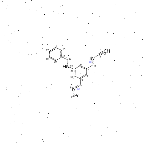 C#C/N=C/c1cc(/C=N/C(C)C)cc(NCc2ccccc2)c1